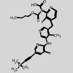 CCCCOC(=O)N(C(=O)O)c1nccc(Cc2cncc(Nc3ncc(C#C[Si](C)(C)C)cc3F)c2C)c1F